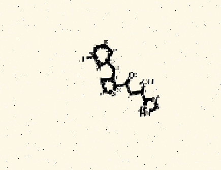 O=C(C=C(O)c1nc[nH]n1)c1sccc1Cc1cccc(F)c1